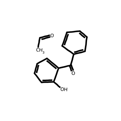 CC=O.O=C(c1ccccc1)c1ccccc1O